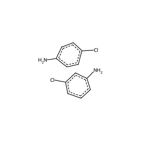 Nc1ccc(Cl)cc1.Nc1cccc(Cl)c1